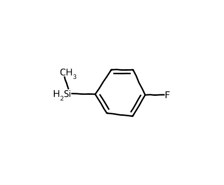 C[SiH2]c1ccc(F)cc1